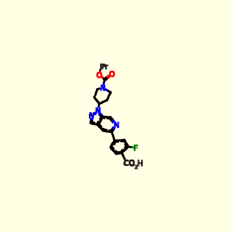 CC(C)OC(=O)N1CCC(n2ncc3cc(-c4ccc(C(=O)O)c(F)c4)ncc32)CC1